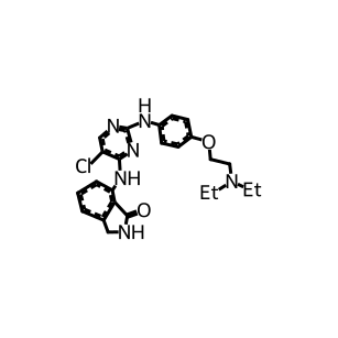 CCN(CC)CCOc1ccc(Nc2ncc(Cl)c(Nc3cccc4c3C(=O)NC4)n2)cc1